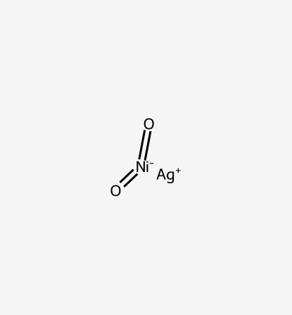 [Ag+].[O]=[Ni-]=[O]